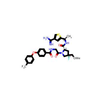 COC[C@@]1(F)C[C@@H](C(=O)N[C@H](C)c2cc(C(=N)N)cs2)N(C(=O)CNC(=O)c2ccc(Oc3ccc(C(F)(F)F)cc3)cc2)C1